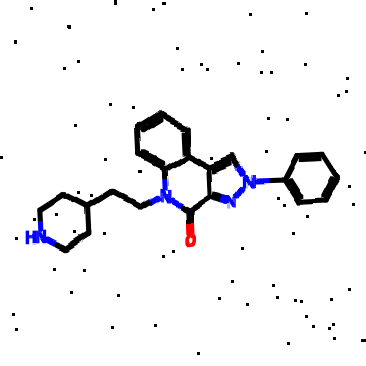 O=c1c2nn(-c3ccccc3)cc2c2ccccc2n1CCC1CCNCC1